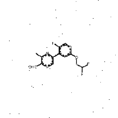 Cc1nc(-c2cc(OCC(F)F)ncc2F)cnc1C=O